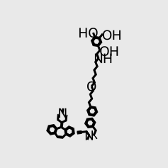 C#CCN(C)[C@H](C)Cc1ccccc1.CN1CCC(=C2c3ccccc3C=Cc3ccccc32)CC1.OCc1cc(C(O)CNCCCCCCOCCCCc2ccccc2)ccc1O